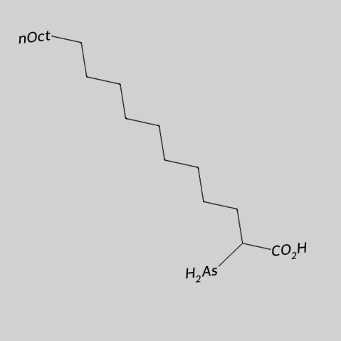 CCCCCCCCCCCCCCCCCC([AsH2])C(=O)O